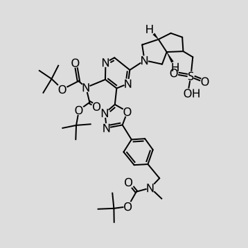 CN(Cc1ccc(-c2nnc(-c3nc(N4C[C@@H]5CCC(CS(=O)(=O)O)[C@@H]5C4)cnc3N(C(=O)OC(C)(C)C)C(=O)OC(C)(C)C)o2)cc1)C(=O)OC(C)(C)C